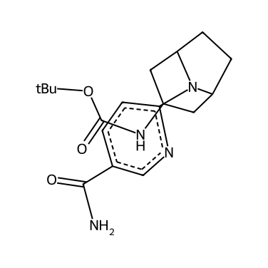 CC(C)(C)OC(=O)NC1CC2CCC(C1)N2c1ccc(C(N)=O)cn1